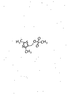 Cc1nc(C)c(COS(C)(=O)=O)s1